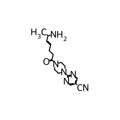 CC(N)/C=C/CCC(=O)N1CCN(c2ncc(C#N)cn2)CC1